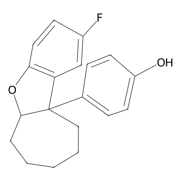 Oc1ccc(C23CCCCCC2Oc2ccc(F)cc23)cc1